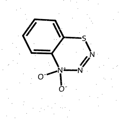 [O-][N+]1([O-])N=NSc2ccccc21